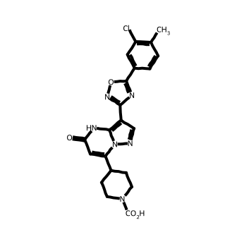 Cc1ccc(-c2nc(-c3cnn4c(C5CCN(C(=O)O)CC5)cc(=O)[nH]c34)no2)cc1Cl